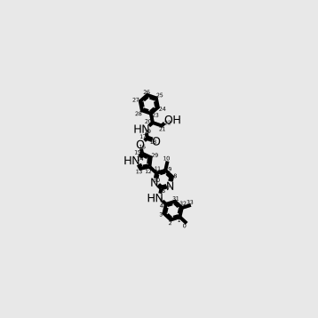 Cc1ccc(Nc2ncc(C)c(-c3c[nH]c(OC(=O)NC(CO)c4ccccc4)c3)n2)cc1C